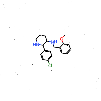 COc1ccccc1CNC1CCCNC1c1ccc(Cl)cc1